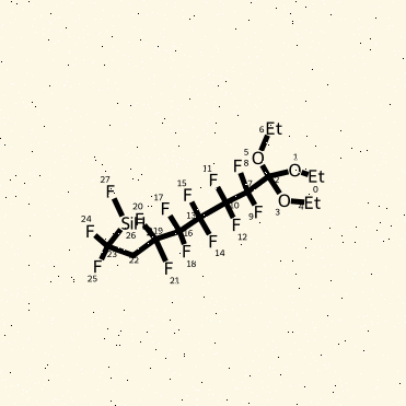 CCOC(OCC)(OCC)C(F)(F)C(F)(F)C(F)(F)C(F)(F)C(F)(F)CC(F)(F)[SiH2]F